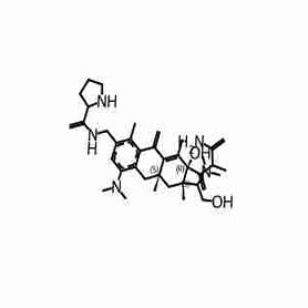 C=C1C2=C(C)[C@](O)(C(=C)C(C)C(=C)N)[C@](C)(C(CO)N(C)C)C[C@]2(C)Cc2c(N(C)C)cc(CNC(=C)C3CCCN3)c(C)c21